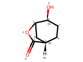 O=C1OC2C[C@@H]1CC[C@@H]2O